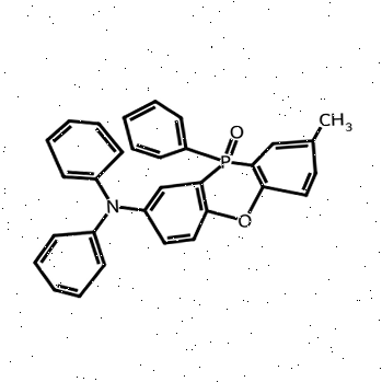 Cc1ccc2c(c1)P(=O)(c1ccccc1)c1cc(N(c3ccccc3)c3ccccc3)ccc1O2